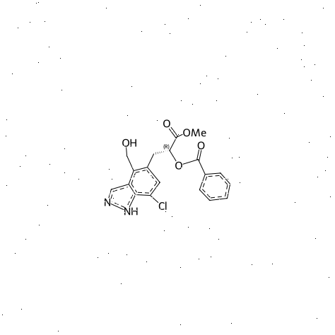 COC(=O)[C@@H](Cc1cc(Cl)c2[nH]ncc2c1CO)OC(=O)c1ccccc1